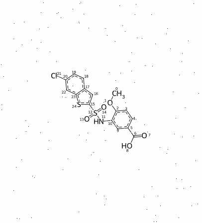 COc1ccc(C(=O)O)cc1NS(=O)(=O)c1cc2ccc(Cl)cc2s1